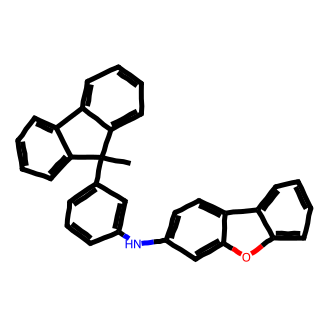 CC1(c2cccc(Nc3ccc4c(c3)oc3ccccc34)c2)c2ccccc2-c2ccccc21